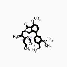 C=C/C=C(\N=C/C)C(=C)CN1Cc2c(-c3ccc(CC)c(N(C)C)c3)ccc(OC)c2C1=O